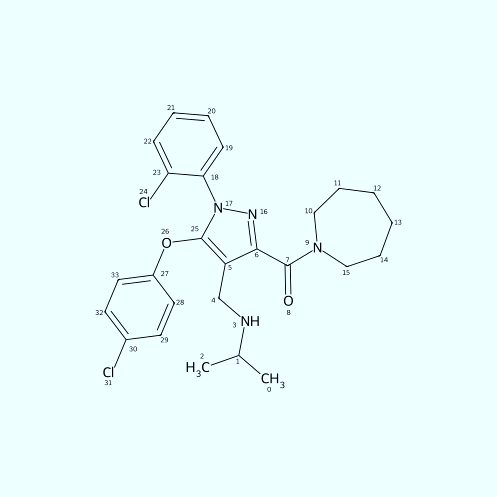 CC(C)NCc1c(C(=O)N2CCCCCC2)nn(-c2ccccc2Cl)c1Oc1ccc(Cl)cc1